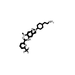 COc1cc2nn(C3CCC(CCN)CC3)cc2cc1NC(=O)c1cccc(C(F)(F)F)n1